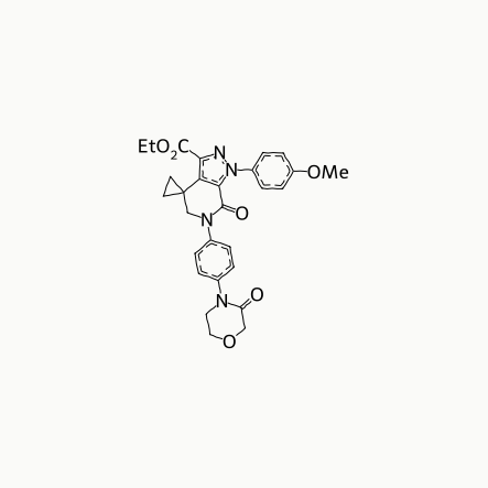 CCOC(=O)c1nn(-c2ccc(OC)cc2)c2c1C1(CC1)CN(c1ccc(N3CCOCC3=O)cc1)C2=O